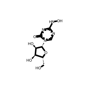 O=c1nc(NO)ncn1[C@@H]1O[C@H](CO)[C@@H](O)[C@H]1O